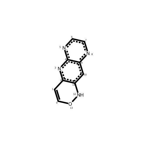 C1=Cc2nc3nccnc3cc2NO1